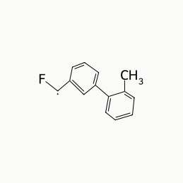 Cc1ccccc1-c1cccc([CH]F)c1